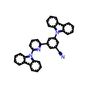 N#Cc1cc(-c2cccc(-n3c4ccccc4c4ccccc43)n2)cc(-n2c3ccccc3c3ccccc32)c1